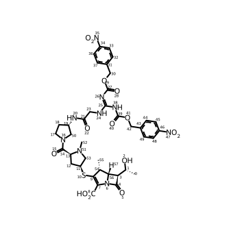 C[C@@H](O)[C@H]1C(=O)N2C(C(=O)O)=C(S[C@H]3C[C@@H](C(=O)N4CC[C@H](NC(=O)CNC(=NC(=O)OCc5ccc([N+](=O)[O-])cc5)NC(=O)OCc5ccc([N+](=O)[O-])cc5)C4)N(C)C3)[C@H](C)[C@H]12